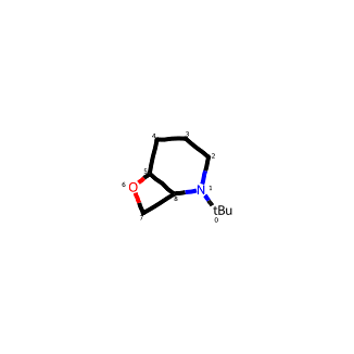 CC(C)(C)N1CCCC2OCC21